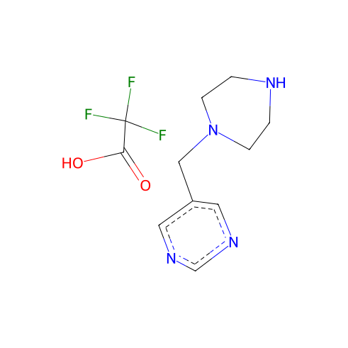 O=C(O)C(F)(F)F.c1ncc(CN2CCNCC2)cn1